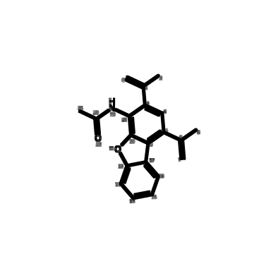 C=C(C)c1cc(C(=C)C)c2c(oc3ccccc32)c1NC(C)=O